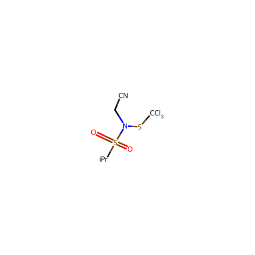 CC(C)S(=O)(=O)N(CC#N)SC(Cl)(Cl)Cl